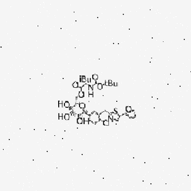 CCC(C)C(NC(=O)OC(C)(C)C)C(=O)OC[C@H]1O[C@@H](c2ccc(Cl)c(Cc3ncc(-c4ccco4)s3)c2)[C@H](O)[C@H](O)[C@H]1O